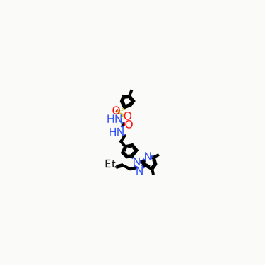 CC/C=C/Cc1nc2c(C)cc(C)nc2n1-c1ccc(CCNC(=O)NS(=O)(=O)c2ccc(C)cc2)cc1